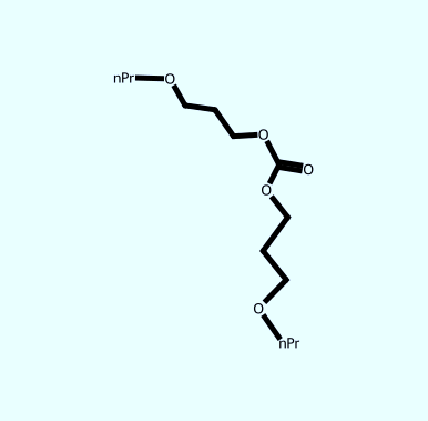 CCCOCCCOC(=O)OCCCOCCC